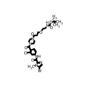 Cn1c(Br)cnc1C(=O)Nc1ccc(C(=O)N2CCN(C(=O)CCOCCNC(=O)OC(C)(C)C)CC2)c(Cl)c1